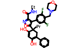 CCNC(=O)c1noc(C2(C(C)C)CC(c3ccccc3)=C(O)C=C2O)c1-c1cc(F)c(CN2CCOCC2)c(F)c1